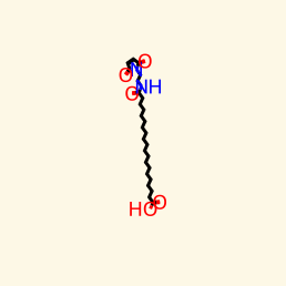 O=C(O)CCCCCCCCCCCCCCCCCCC(=O)NCCN1C(=O)C=CC1=O